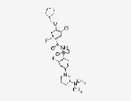 CN(C)C1CCCN(c2ccc(S(=O)(=O)NC(=O)c3cc(Cl)c(OCC4CCCC4)cc3F)c(F)c2)C1